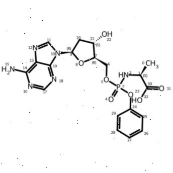 C[C@H](NP(=O)(OC[C@H]1O[C@@H](n2cnc3c(N)ncnc32)C[C@@H]1O)Oc1ccccc1)C(=O)O